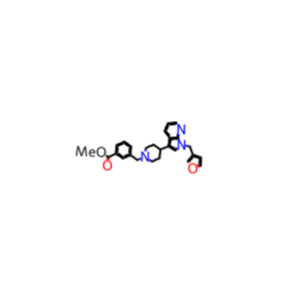 COC(=O)c1cccc(CN2CCC(c3cn(Cc4ccoc4)c4ncccc34)CC2)c1